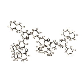 c1ccc(-c2cc(-c3cccc4ccccc34)nc(-c3ccc4c(c3)Oc3cc(-c5cccc(-c6cc(-c7ccc8ccccc8c7)nc(-c7ccc8c(c7)Oc7ccccc7C87c8ccccc8-c8ccccc87)n6)c5)ccc3C43c4ccccc4-c4ccccc43)n2)cc1